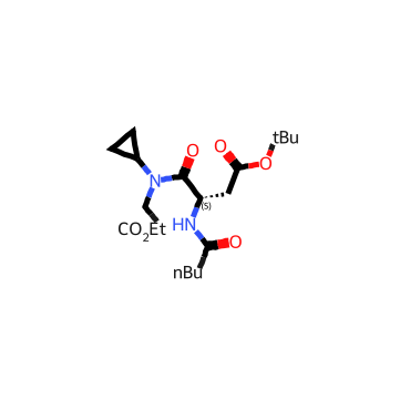 CCCCC(=O)N[C@@H](CC(=O)OC(C)(C)C)C(=O)N(CC(=O)OCC)C1CC1